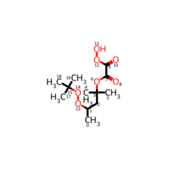 CC(CC(C)(C)OC(=O)C(=O)OO)OOC(C)(C)C